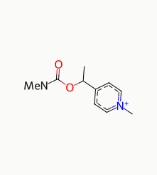 CNC(=O)OC(C)c1cc[n+](C)cc1